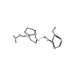 COc1cccnc1OC[C@@H]1CC[C@]2(COC(C)C)CCCN12